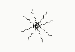 CCCCCCN(CCCCCC)[Si](N(CCCCCC)CCCCCC)(N(CCCCCC)CCCCCC)N(CCCCCC)CCCCCC